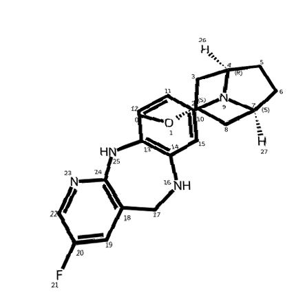 CO[C@@H]1C[C@H]2CC[C@@H](C1)N2c1ccc2c(c1)NCc1cc(F)cnc1N2